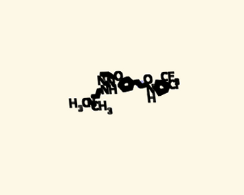 CN(C)CCCNc1nccc(Oc2cccc(/C=C/C(=O)Nc3ccc(Cl)c(C(F)(F)F)c3)c2)n1